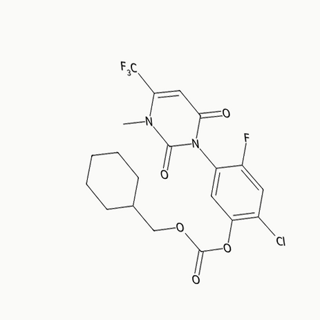 Cn1c(C(F)(F)F)cc(=O)n(-c2cc(OC(=O)OCC3CCCCC3)c(Cl)cc2F)c1=O